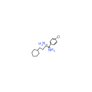 N[C@H](c1ccc(Cl)cc1)[C@@H](N)CCC1CCCCC1